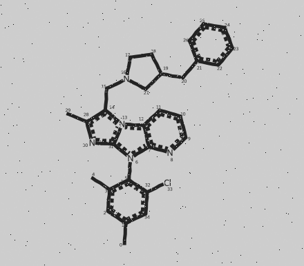 Cc1cc(C)c(-n2c3ncccc3n3c(CN4CCC(Cc5ccccc5)C4)c(C)nc23)c(Cl)c1